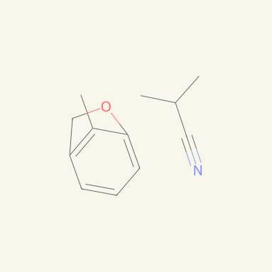 CC(C)C#N.Cc1c2cccc1OC2